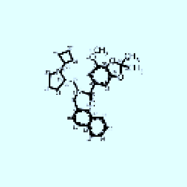 COc1cc(C(=O)N(Cc2ccc3ccccc3c2)C[C@@H]2CCCN2C2CCC2)cc2c1OC(C)(C)O2